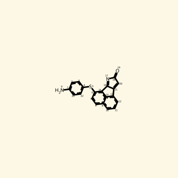 Nc1ccc(Sc2ccc3cccc4c3c2C2=NC(=O)C=C24)cc1